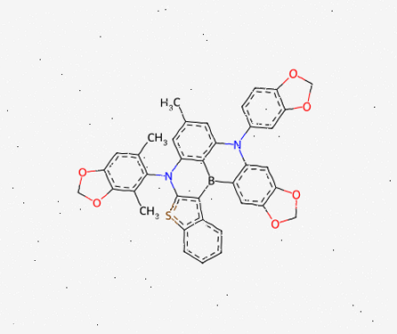 Cc1cc2c3c(c1)N(c1c(C)cc4c(c1C)OCO4)c1sc4ccccc4c1B3c1cc3c(cc1N2c1ccc2c(c1)OCO2)OCO3